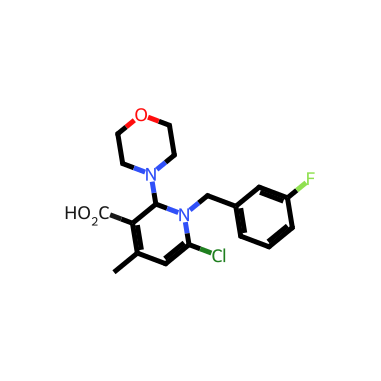 CC1=C(C(=O)O)C(N2CCOCC2)N(Cc2cccc(F)c2)C(Cl)=C1